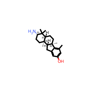 Cc1cc(O)cc2c1[C@]1(C)CC[C@H]3C(C)(C)[C@@H](N)CC[C@]3(C)[C@H]1C2